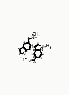 CNCc1ccc2c(ccn2C)c1.Cn1ccc2cc(C=O)ccc21